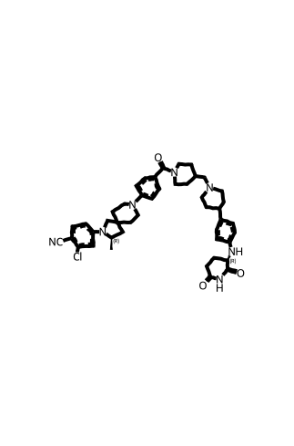 C[C@@H]1CC2(CCN(c3ccc(C(=O)N4CCC(CN5CCC(c6ccc(N[C@@H]7CCC(=O)NC7=O)cc6)CC5)CC4)cc3)CC2)CN1c1ccc(C#N)c(Cl)c1